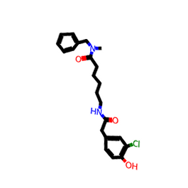 CN(Cc1ccccc1)C(=O)CCCCCNC(=O)Cc1ccc(O)c(Cl)c1